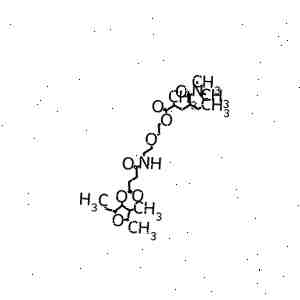 CCC(CC(C)C(=O)OCCOCCNC(=O)CCC(=O)OC1C(CC)OC(C)C1C)C(=O)N(C)C